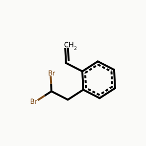 C=Cc1ccccc1CC(Br)Br